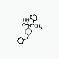 CC1c2ccccc2NC(=O)N1C1CCN(Cc2ccccc2)CC1